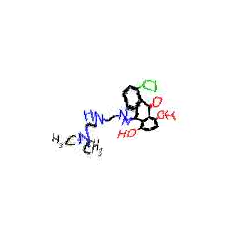 CN(C)CCNCCn1nc2c3c(c(Cl)ccc31)C(=O)c1c(O)ccc(O)c1-2